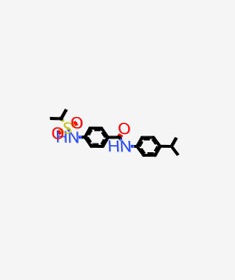 CC(C)c1ccc(NC(=O)c2ccc(NS(=O)(=O)C(C)C)cc2)cc1